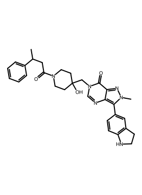 CC(CC(=O)N1CCC(O)(Cn2cnc3c(-c4ccc5c(c4)CCN5)n(C)nc3c2=O)CC1)c1ccccc1